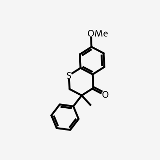 COc1ccc2c(c1)SCC(C)(c1ccccc1)C2=O